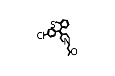 CC(=O)CCN1CCC(=C2c3ccccc3CSc3cc(Cl)ccc32)CC1